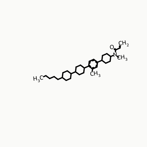 C=CC(=O)N(C)C1CCC(c2ccc(C3CCC(C4CCC(CCCCC)CC4)CC3)c(C)c2)CC1